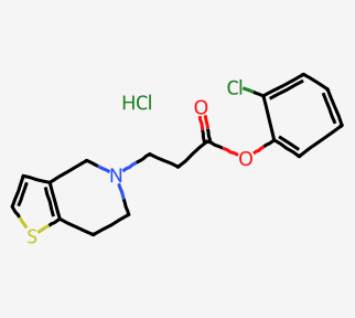 Cl.O=C(CCN1CCc2sccc2C1)Oc1ccccc1Cl